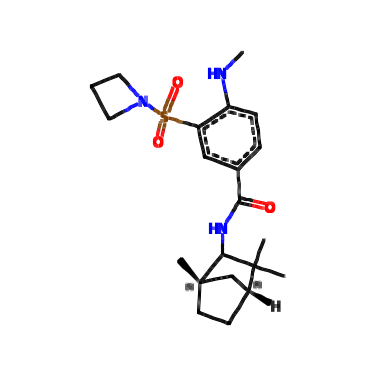 CNc1ccc(C(=O)NC2C(C)(C)[C@@H]3CC[C@@]2(C)C3)cc1S(=O)(=O)N1CCC1